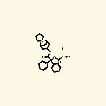 CCCCCCC(=O)OC(C(=O)OC1CC2CCC(C1)[N+]21CCCC1)(c1ccccc1)c1ccccc1.[Cl-]